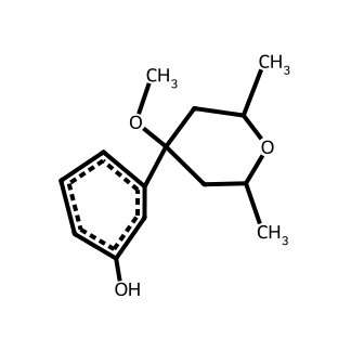 COC1(c2cccc(O)c2)CC(C)OC(C)C1